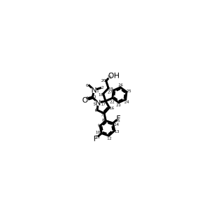 CN(C)C(=O)N1CC(c2cc(F)ccc2F)=CC1(CCCO)c1ccccc1